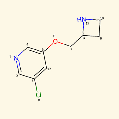 Clc1cncc(OCC2CCN2)c1